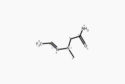 CN(CC(N)=O)/N=C/C(F)(F)F